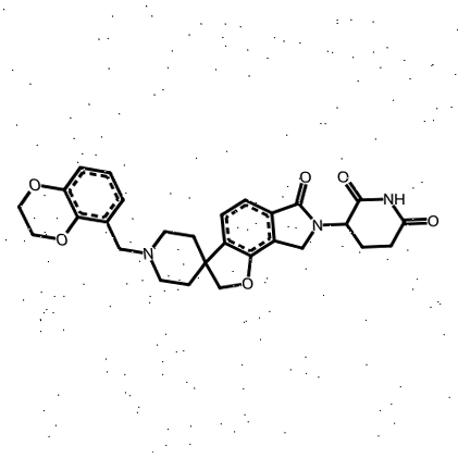 O=C1CCC(N2Cc3c(ccc4c3OCC43CCN(Cc4cccc5c4OCCO5)CC3)C2=O)C(=O)N1